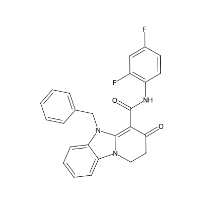 O=C1CCN2C(=C1C(=O)Nc1ccc(F)cc1F)N(Cc1ccccc1)c1ccccc12